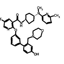 Cc1cccc(N(C)[C@H]2CC[C@H](NC(=O)c3cc(F)cnc3Oc3cccc(-c4ccc(O)cc4CN4CCOCC4)c3)CC2)n1